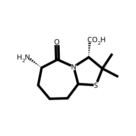 CC1(C)SC2CCC[C@H](N)C(=O)N2[C@@H]1C(=O)O